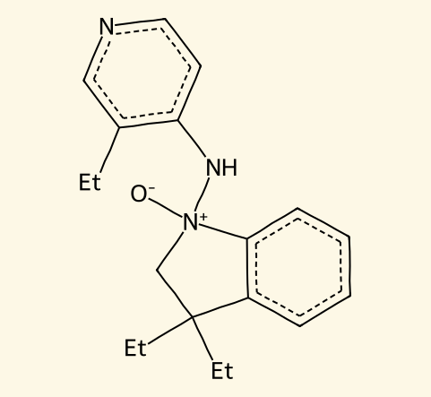 CCc1cnccc1N[N+]1([O-])CC(CC)(CC)c2ccccc21